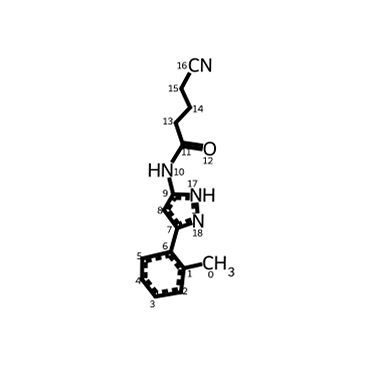 Cc1ccccc1-c1cc(NC(=O)CCCC#N)[nH]n1